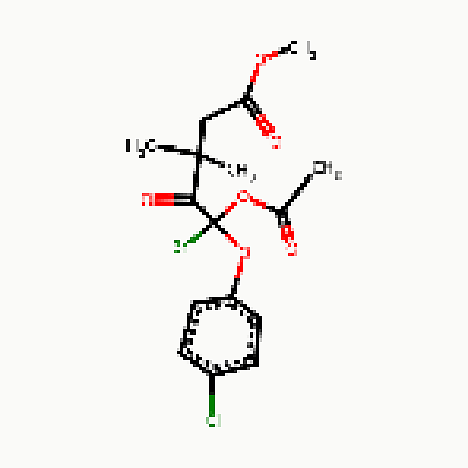 COC(=O)CC(C)(C)C(=O)C(Br)(OC(C)=O)Oc1ccc(Cl)cc1